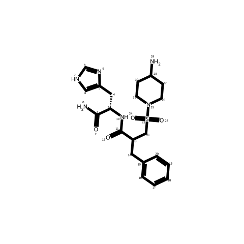 NC(=O)[C@H](Cc1c[nH]cn1)NC(=O)C(Cc1ccccc1)CS(=O)(=O)N1CCC(N)CC1